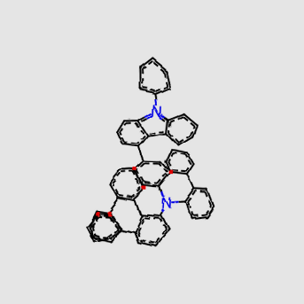 c1ccc(-c2ccccc2-c2c(-c3ccccc3)cccc2N(c2ccc(-c3cccc4c3c3ccccc3n4-c3ccccc3)cc2)c2ccccc2-c2ccccc2)cc1